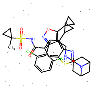 CC1(S(=O)(=O)NC(=O)c2cc(C3CC3)c3nc(N4C5CC(NCc6c(-c7c(Cl)cccc7Cl)noc6C6CC6)CC4C5)sc3c2)CC1